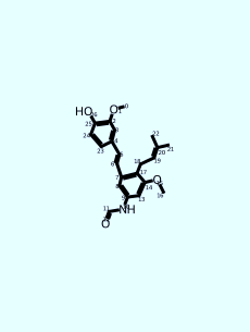 COc1cc(/C=C/c2cc(NC=O)cc(OC)c2CC=C(C)C)ccc1O